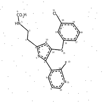 O=C(O)NCCc1nc(-c2cccnc2F)c(Sc2cccc(Cl)c2)s1